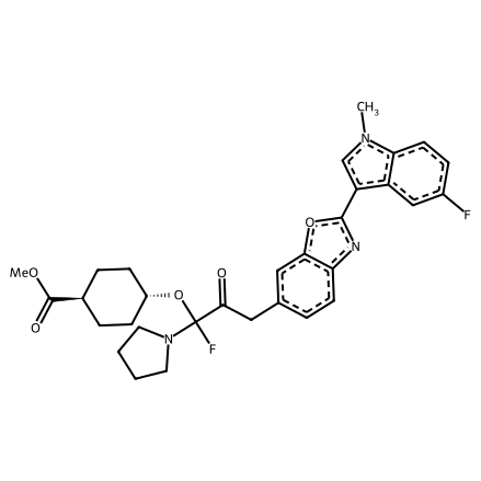 COC(=O)[C@H]1CC[C@H](OC(F)(C(=O)Cc2ccc3nc(-c4cn(C)c5ccc(F)cc45)oc3c2)N2CCCC2)CC1